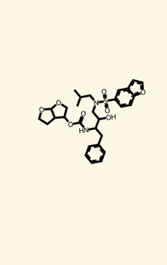 CC(C)CN(CC(O)C(Cc1ccccc1)NC(=O)OC1COC2OCCC12)S(=O)(=O)c1ccc2occc2c1